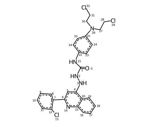 O=C(NNc1cc(-c2ccccc2Cl)nc2ccccc12)Nc1ccc(N(CCCl)CCCl)cc1